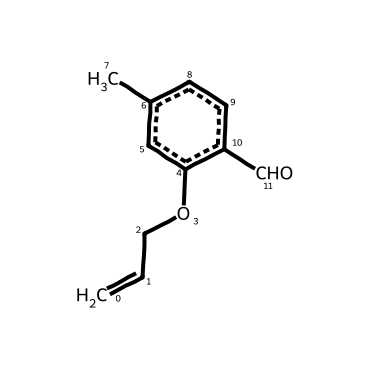 C=CCOc1cc(C)ccc1C=O